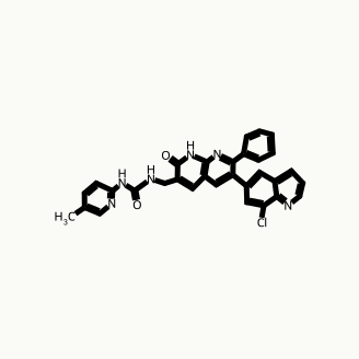 Cc1ccc(NC(=O)NCc2cc3cc(-c4cc(Cl)c5ncccc5c4)c(-c4ccccc4)nc3[nH]c2=O)nc1